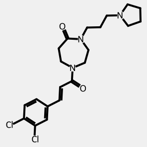 O=C(/C=C/c1ccc(Cl)c(Cl)c1)N1CCC(=O)N(CCCN2CCCC2)CC1